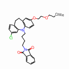 COCCOCCOc1ccc2c(c1)CCc1ccc(Cl)cc1N2CCCCN1C(=O)c2ccccc2C1=O